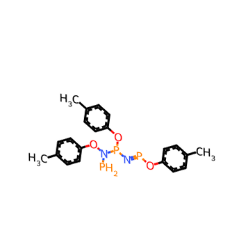 Cc1ccc(OP=NP(Oc2ccc(C)cc2)N(P)Oc2ccc(C)cc2)cc1